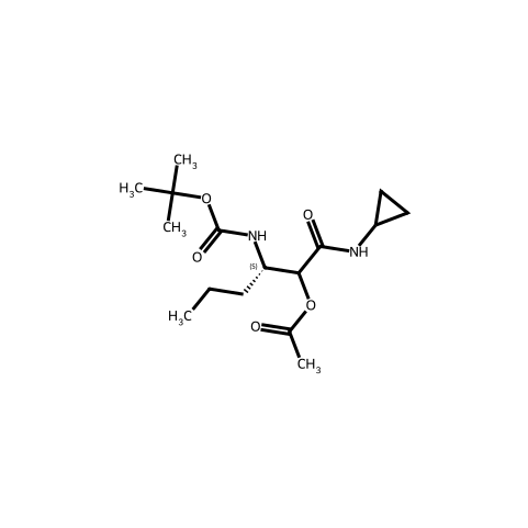 CCC[C@H](NC(=O)OC(C)(C)C)C(OC(C)=O)C(=O)NC1CC1